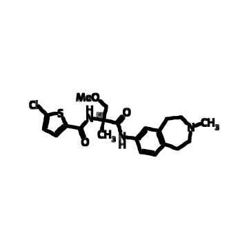 COC[C@@](C)(NC(=O)c1ccc(Cl)s1)C(=O)Nc1ccc2c(c1)CCN(C)CC2